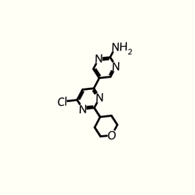 Nc1ncc(-c2cc(Cl)nc(C3CCOCC3)n2)cn1